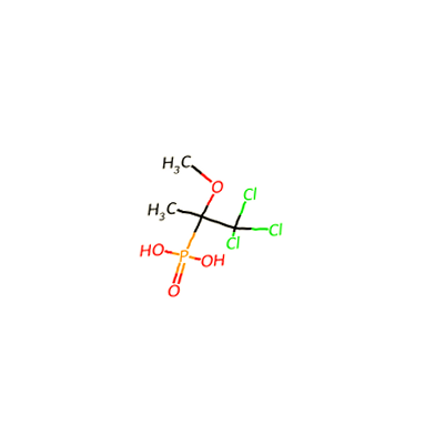 COC(C)(C(Cl)(Cl)Cl)P(=O)(O)O